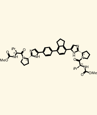 COC(=O)N[C@H](C(=O)N1CCC[C@H]1c1ncc(-c2ccc(-c3ccc(-c4cnc([C@@H]5CCCN5C(=O)[C@@H](NC(=O)OC)C(C)C)[nH]4)c4c3CCC4)cc2)[nH]1)C(C)C